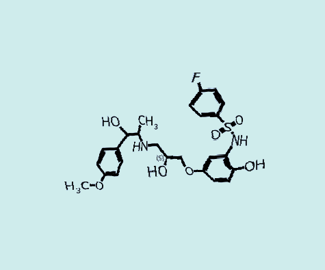 COc1ccc(C(O)C(C)NC[C@H](O)COc2ccc(O)c(NS(=O)(=O)c3ccc(F)cc3)c2)cc1